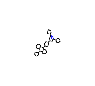 c1ccc(-c2cc(-c3ccc(-c4c5ccccc5c(-c5ccccc5)c5ccccc45)cc3)cc(-c3ccccc3)n2)cc1